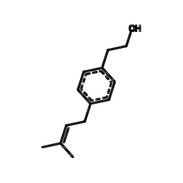 CC(C)=CCc1ccc(CCO)cc1